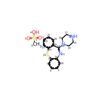 CS(=O)(=O)O.c1ccc2c(c1)N=C(N1CCNCC1)c1ccccc1S2